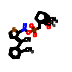 Cc1ccccc1/C(C#N)=C1\C=CSC1NOS(=O)(=O)CC12CCC(CC1=O)C2(C)C